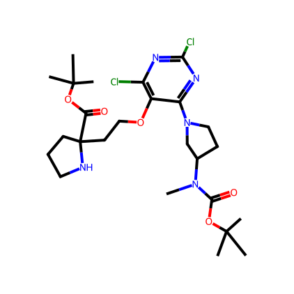 CN(C(=O)OC(C)(C)C)C1CCN(c2nc(Cl)nc(Cl)c2OCCC2(C(=O)OC(C)(C)C)CCCN2)C1